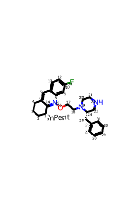 CCCCC[C@@H]1CCCC(=Cc2ccc(F)cc2)C1=NOCCN1CCNC[C@@H]1Cc1ccccc1